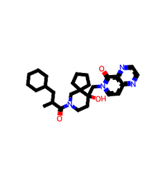 CC(CC1CCCCC1)C(=O)N1CCC(O)(Cn2ccc3nccnc3c2=O)C2(CCCC2)C1